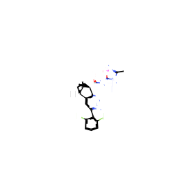 CC1=NOC(NC(=O)[C@]23CC[C@H](c4cc(-c5c(F)cccc5F)nnc42)C3(C)C)N1